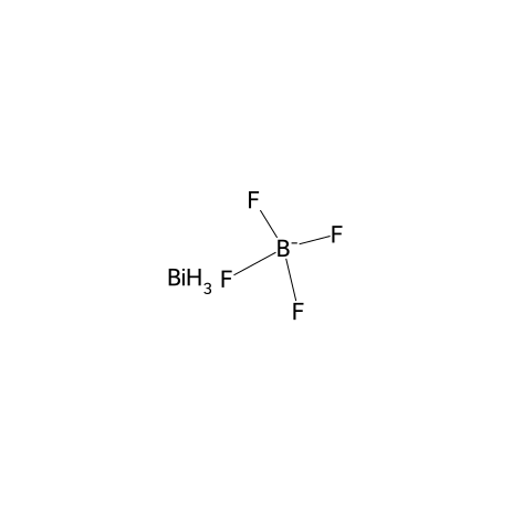 F[B-](F)(F)F.[BiH3]